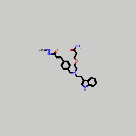 CCCNNC(=O)/C=C/c1ccc(CN(CCOCCC(N)=O)CCc2c[nH]c3ccccc23)cc1